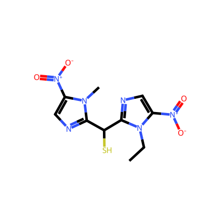 CCn1c([N+](=O)[O-])cnc1C(S)c1ncc([N+](=O)[O-])n1C